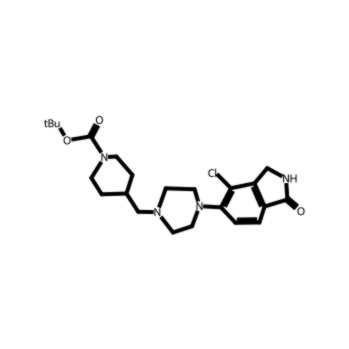 CC(C)(C)OC(=O)N1CCC(CN2CCN(c3ccc4c(c3Cl)CNC4=O)CC2)CC1